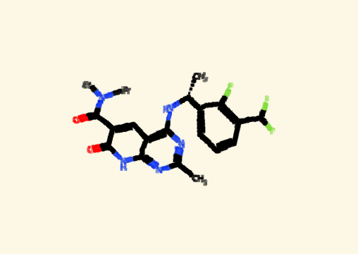 CCN(C(=O)c1cc2c(N[C@H](C)c3cccc(C(F)F)c3F)nc(C)nc2[nH]c1=O)C(C)C